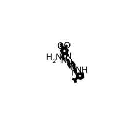 COc1cc2nc(N3CCN(c4nc5c(C(C)C)cccc5[nH]4)CC3)nc(N)c2cc1OC